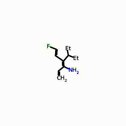 C=C/C(N)=C(\C=C\F)C(CC)CC